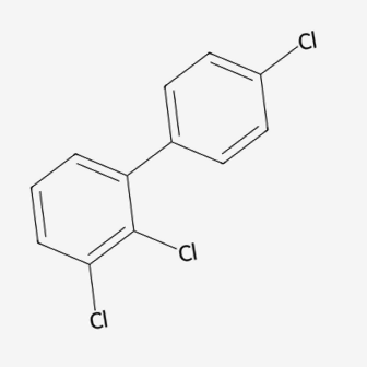 Clc1ccc(-c2cccc(Cl)c2Cl)cc1